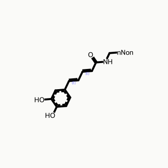 CCCCCCCCCCNC(=O)/C=C/C=C/c1ccc(O)c(O)c1